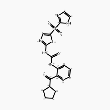 O=C(Nc1ncc(S(=O)(=O)c2ncc[nH]2)s1)Nc1cccnc1C(=O)C1CCCC1